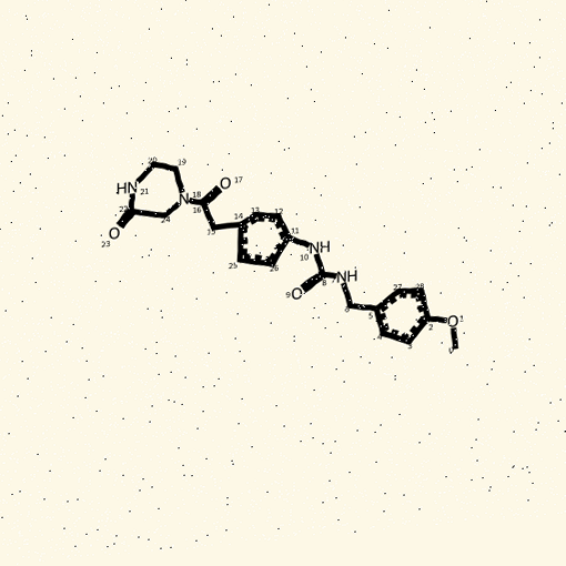 COc1ccc(CNC(=O)Nc2ccc(CC(=O)N3CCNC(=O)C3)cc2)cc1